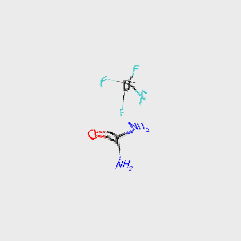 F[B-](F)(F)F.NC(N)=O